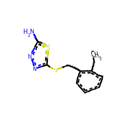 Cc1ccccc1CSc1nnc(N)s1